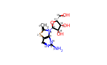 C=C1Sc2cnc(N)nc2N1[C@@H]1O[C@H](CO)[C@@H](O)[C@H]1O